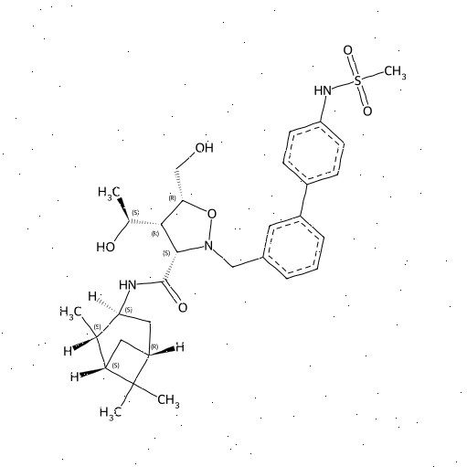 C[C@@H]1[C@@H](NC(=O)[C@@H]2[C@H]([C@H](C)O)[C@H](CO)ON2Cc2cccc(-c3ccc(NS(C)(=O)=O)cc3)c2)C[C@H]2C[C@@H]1C2(C)C